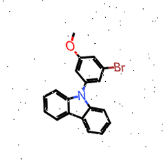 COc1cc(Br)cc(-n2c3ccccc3c3ccccc32)c1